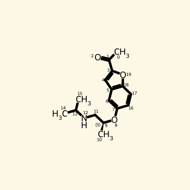 CC(=O)c1cc2cc(O[C@@H](C)CNC(C)C)ccc2o1